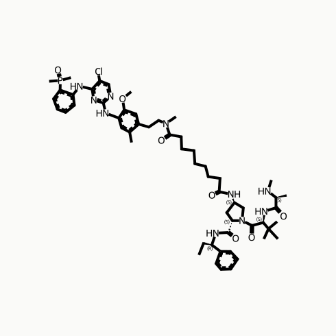 CC[C@@H](NC(=O)[C@@H]1C[C@H](NC(=O)CCCCCCCC(=O)N(C)CCc2cc(OC)c(Nc3ncc(Cl)c(Nc4ccccc4P(C)(C)=O)n3)cc2C)CN1C(=O)[C@@H](NC(=O)[C@H](C)NC)C(C)(C)C)c1ccccc1